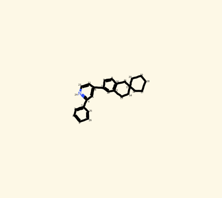 c1ccc(-c2cc(-c3ccc4c(c3)CCC3(CCCCC3)C4)ccn2)cc1